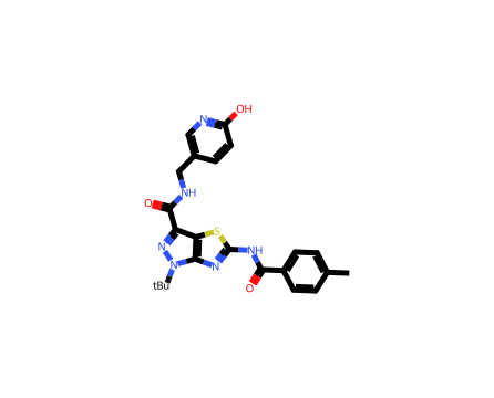 Cc1ccc(C(=O)Nc2nc3c(s2)c(C(=O)NCc2ccc(O)nc2)nn3C(C)(C)C)cc1